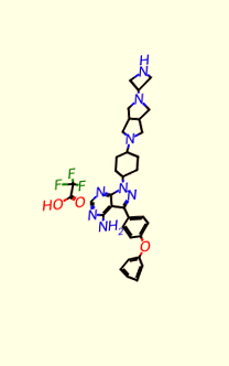 Nc1ncnc2c1c(-c1ccc(Oc3ccccc3)cc1)nn2C1CCC(N2CC3CN(C4CNC4)CC3C2)CC1.O=C(O)C(F)(F)F